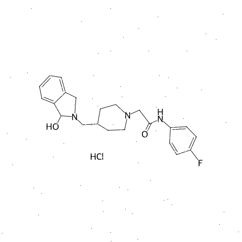 Cl.O=C(CN1CCC(CN2Cc3ccccc3C2O)CC1)Nc1ccc(F)cc1